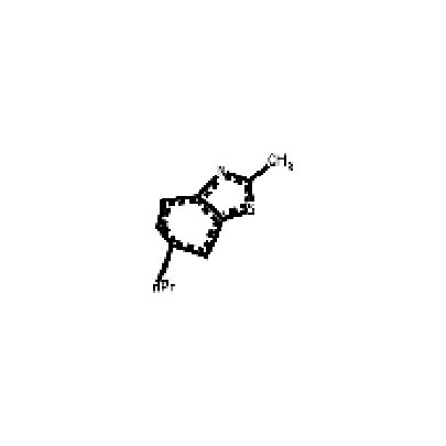 [CH2]CCc1ccc2nc(C)sc2c1